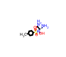 Cc1ccc(S(=O)(=O)N(O)[C@@H](CN)C(N)=O)cc1